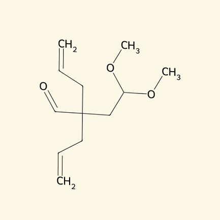 C=CCC(C=O)(CC=C)CC(OC)OC